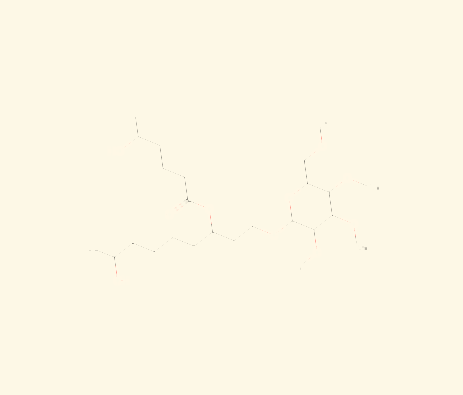 CCCCC(O)CCCCC(CCOC1OC(C[O][BaH])C([O][BaH])C([O][BaH])C1[O][BaH])OC(=O)CCCC(O)CC